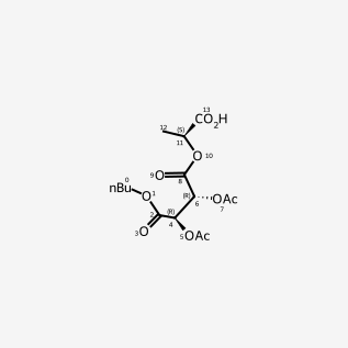 CCCCOC(=O)[C@H](OC(C)=O)[C@@H](OC(C)=O)C(=O)O[C@@H](C)C(=O)O